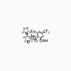 CCc1cc(C(F)(F)F)cc(OC)c1C(=O)NC1COCCC1N1CCCC1